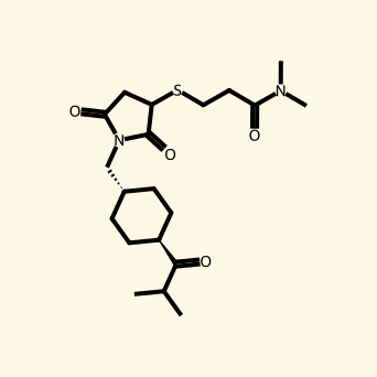 CC(C)C(=O)[C@H]1CC[C@H](CN2C(=O)CC(SCCC(=O)N(C)C)C2=O)CC1